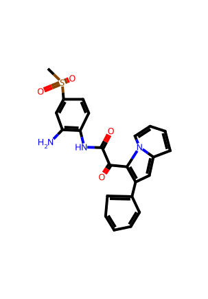 CS(=O)(=O)c1ccc(NC(=O)C(=O)c2c(-c3ccccc3)cc3ccccn23)c(N)c1